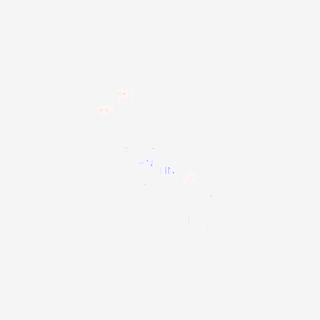 N=C(C1=C(NC(=O)c2c(Cl)cccc2C2(C(F)(F)F)CC2)CCCS1)c1ccc(C(=O)O)cc1F